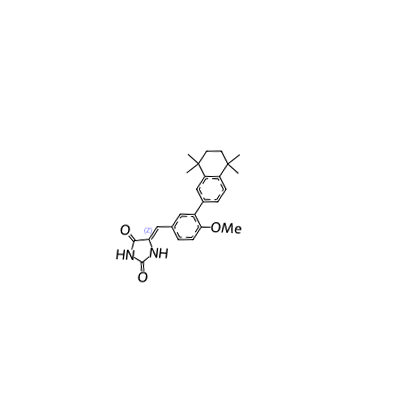 COc1ccc(/C=C2\NC(=O)NC2=O)cc1-c1ccc2c(c1)C(C)(C)CCC2(C)C